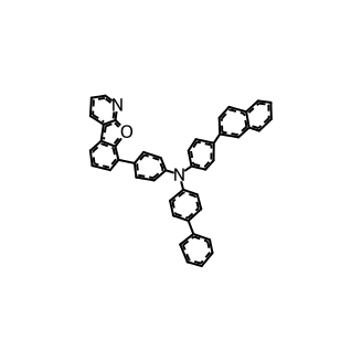 c1ccc(-c2ccc(N(c3ccc(-c4ccc5ccccc5c4)cc3)c3ccc(-c4cccc5c4oc4ncccc45)cc3)cc2)cc1